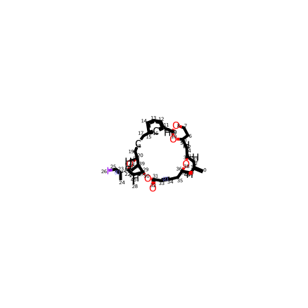 C=C1C[C@@H]2C[C@@H]3CCO[C@@H](O3)c3cccc(c3)CCC[C@H]3O[C@@H](/C(C)=C/I)[C@H](C)[C@@H](OC(=O)/C=C\C[C@@H](C1)O2)[C@H]3C